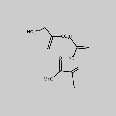 C=C(C)C#N.C=C(C)C(=O)OC.C=C(CC(=O)O)C(=O)O